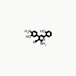 N#Cc1c(-c2ccc(N)c(O)c2)cc(-c2ccccc2O)nc1N